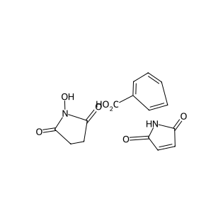 O=C(O)c1ccccc1.O=C1C=CC(=O)N1.O=C1CCC(=O)N1O